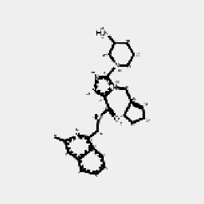 Cc1cc2ccccc2c(CNC(=O)c2nnc(N3CCCC(N)C3)n2CC2=CCCC2)n1